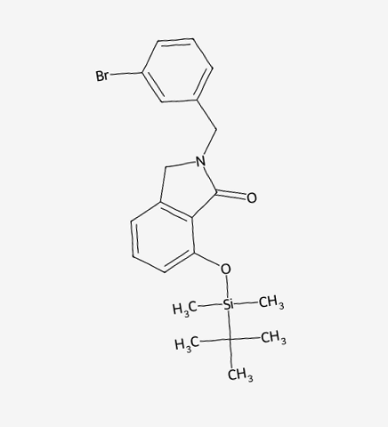 CC(C)(C)[Si](C)(C)Oc1cccc2c1C(=O)N(Cc1cccc(Br)c1)C2